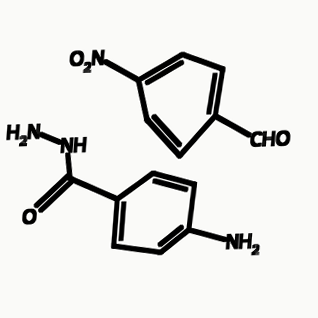 NNC(=O)c1ccc(N)cc1.O=Cc1ccc([N+](=O)[O-])cc1